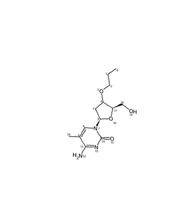 CCCOC1C[C@H](n2cc(C)c(N)nc2=O)O[C@@H]1CO